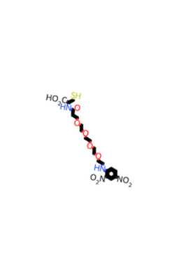 O=C(CCOCCOCCOCCOCCNc1ccc([N+](=O)[O-])cc1[N+](=O)[O-])NC(CS)C(=O)O